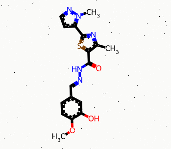 COc1ccc(/C=N/NC(=O)c2sc(-c3ccnn3C)nc2C)cc1O